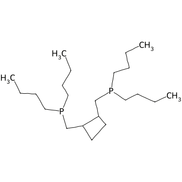 CCCCP(CCCC)CC1CCC1CP(CCCC)CCCC